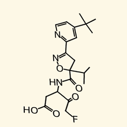 CC(C)C1(C(=O)NC(CC(=O)O)C(=O)CF)CC(c2cc(C(C)(C)C)ccn2)=NO1